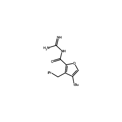 CC(C)Cc1c(C(C)(C)C)coc1C(=O)NC(=N)N